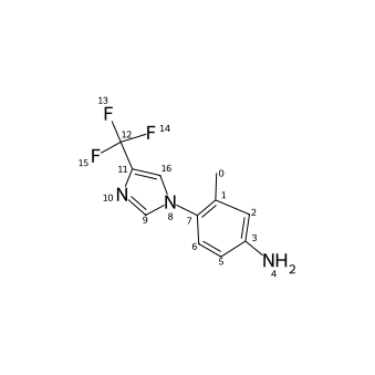 Cc1cc(N)ccc1-n1cnc(C(F)(F)F)c1